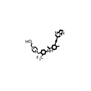 C=C(Nc1ccc(CN2CCN(CCO)CC2)c(C(F)(F)F)c1)c1ccc(C)c(C#Cc2cnc3ccnn3c2)c1